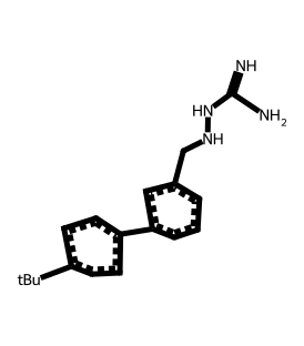 CC(C)(C)c1ccc(-c2cccc(CNNC(=N)N)c2)cc1